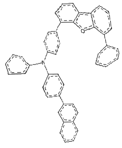 c1ccc(-c2cccc3c2oc2c(-c4ccc(N(c5ccccc5)c5ccc(-c6ccc7ccccc7c6)cc5)cc4)cccc23)cc1